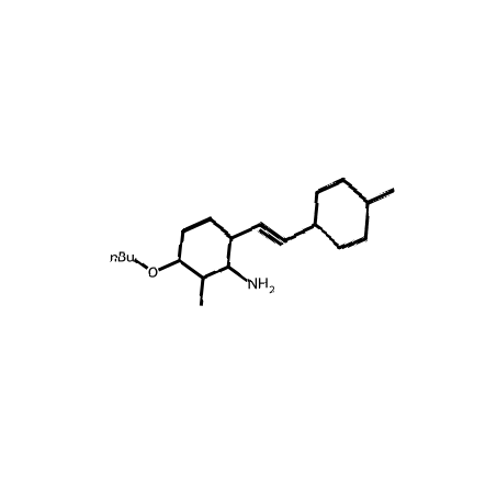 CCCCOC1CCC(C=CC2CCC(C)CC2)C(N)C1C